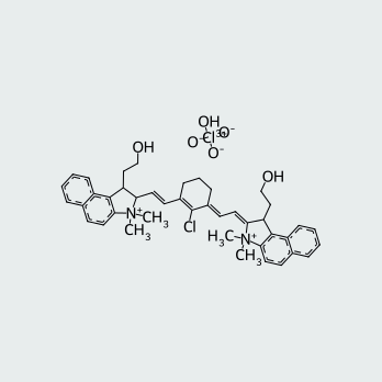 C[N+]1(C)C(=CC=C2CCCC(C=CC3C(CCO)c4c(ccc5ccccc45)[N+]3(C)C)=C2Cl)C(CCO)c2c1ccc1ccccc21.[O-][Cl+3]([O-])([O-])O